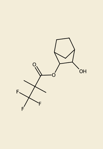 CC(C)(C(=O)OC1C2CCC(C2)C1O)C(F)(F)F